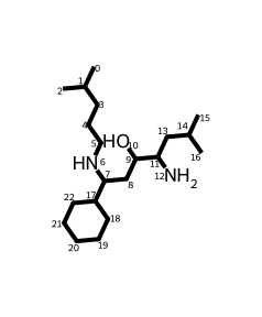 CC(C)CCCNC(CC(O)C(N)CC(C)C)C1CCCCC1